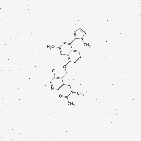 CC(=O)N(C)Cc1cncc(Cl)c1COc1cccc2c(-c3ccnn3C)cc(C)nc12